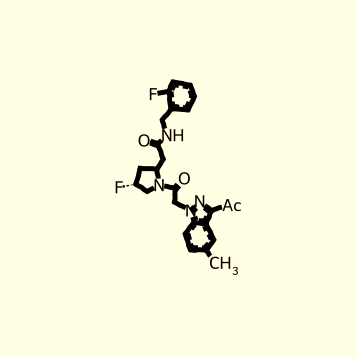 CC(=O)c1nn(CC(=O)N2C[C@H](F)CC2CC(=O)NCc2ccccc2F)c2ccc(C)cc12